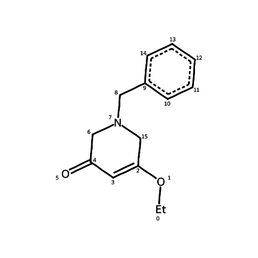 CCOC1=CC(=O)CN(Cc2ccccc2)C1